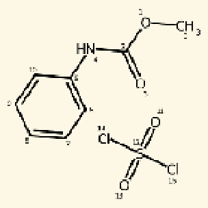 COC(=O)Nc1ccccc1.O=S(=O)(Cl)Cl